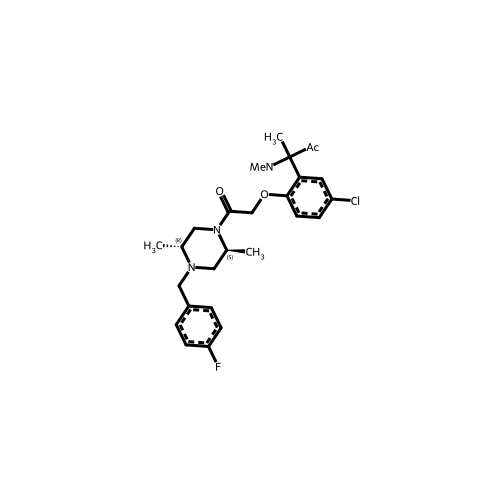 CNC(C)(C(C)=O)c1cc(Cl)ccc1OCC(=O)N1C[C@@H](C)N(Cc2ccc(F)cc2)C[C@@H]1C